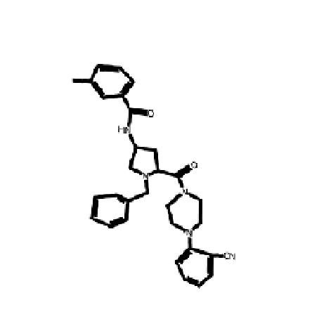 Cc1cccc(C(=O)NC2CC(C(=O)N3CCN(c4ccccc4C#N)CC3)N(Cc3ccccc3)C2)c1